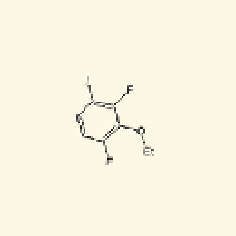 CCOc1c(F)ccc(I)c1F